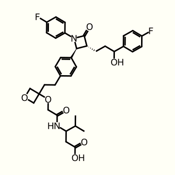 CC(C)C(CC(=O)O)NC(=O)COC1(CCc2ccc([C@@H]3[C@@H](CCC(O)c4ccc(F)cc4)C(=O)N3c3ccc(F)cc3)cc2)COC1